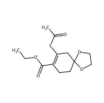 CCOC(=O)C1=C(SC(C)=O)CC2(CC1)OCCO2